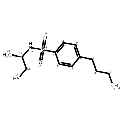 CCCCc1ccc(S(=O)(=O)N[C@H](C)CS)cc1